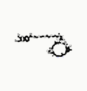 C/C1=C\C=C\[C@@H](C)[C@@]2(O)C[C@@H](CC3C[C@@]3(C)[C@@H](OC(=O)[C@@H](C)N(C)C(=O)CCOCCOCCOCCNC(=O)c3ccc4nc(CBr)c(CBr)nc4c3)CC(=O)N(C)c3cc(cc(C)c3Cl)C1)OC(=O)N2